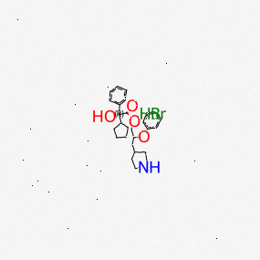 Br.O=C(OCC(CC1CCNCC1)Oc1ccccc1)[C@](O)(c1ccccc1)C1CCCC1